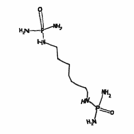 NP(N)(=O)NCCCCCNP(N)(N)=O